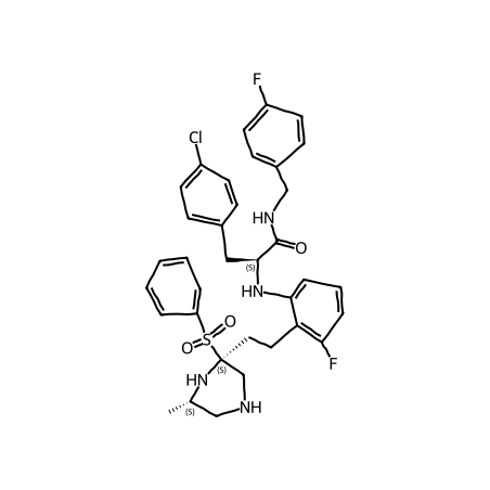 C[C@H]1CNC[C@](CCc2c(F)cccc2N[C@@H](Cc2ccc(Cl)cc2)C(=O)NCc2ccc(F)cc2)(S(=O)(=O)c2ccccc2)N1